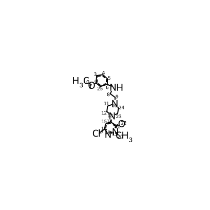 COc1cccc(NCCN2CCN(c3cc(Cl)nn(C)c3=O)CC2)c1